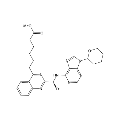 CC[C@H](Nc1ncnc2c1ncn2C1CCCCO1)c1nc(CCCCCC(=O)OC)c2ccccc2n1